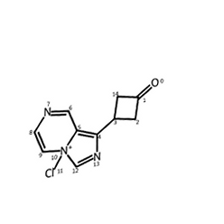 O=C1CC(C2=C3C=NC=C[N+]3(Cl)C=N2)C1